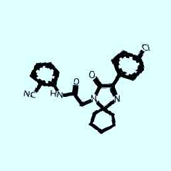 N#Cc1ccccc1NC(=O)CN1C(=O)C(c2ccc(Cl)cc2)=NC12CCCCC2